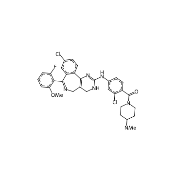 CNC1CCN(C(=O)c2ccc(NC3=NC4=C(CN=C(c5c(F)cccc5OC)c5cc(Cl)ccc54)CN3)cc2Cl)CC1